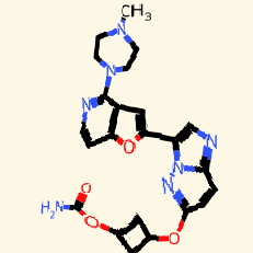 CN1CCN(c2nccc3oc(-c4cnc5ccc(OC6CC(OC(N)=O)C6)nn45)cc23)CC1